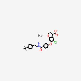 CC(C)(C)c1ccc(CCNC(=O)c2ccc(Oc3cc4c(cc3Cl)C(C(=O)[O-])CCO4)cc2)cc1.[Na+]